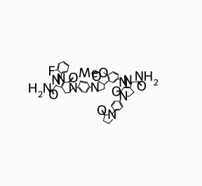 COc1ccc(-n2nc(C(N)=O)c3c2C(=O)N(c2ccc(N4CCCC4=O)cc2)CC3)cc1C1CCN(c2ccc(N3CCc4c(C(N)=O)nn(-c5ccccc5F)c4C3=O)cc2)C1=O